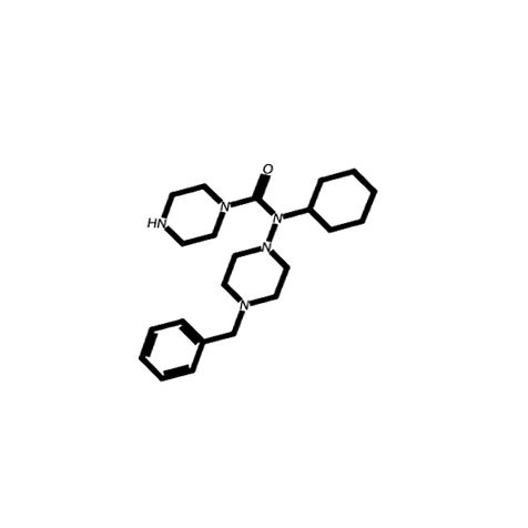 O=C(N1CCNCC1)N(C1CCCCC1)N1CCN(Cc2ccccc2)CC1